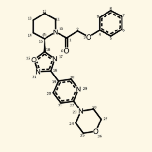 O=C(COc1ccccc1)N1CCCC[C@@H]1c1nc(-c2ccc(N3CCOCC3)nc2)no1